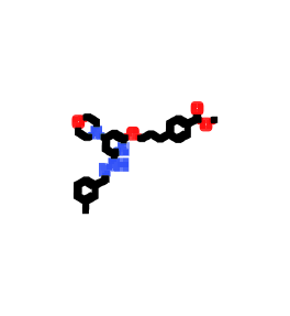 COC(=O)c1ccc(CCCOc2cc(N3CCOCC3)cc(NN=Cc3cccc(C)c3)n2)cc1